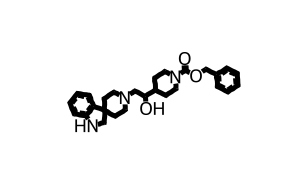 O=C(OCc1ccccc1)N1CCC(C(O)CN2CCC3(CC2)CNc2ccccc23)CC1